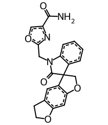 NC(=O)c1coc(CN2C(=O)C3(COc4cc5c(cc43)CCO5)c3ccccc32)n1